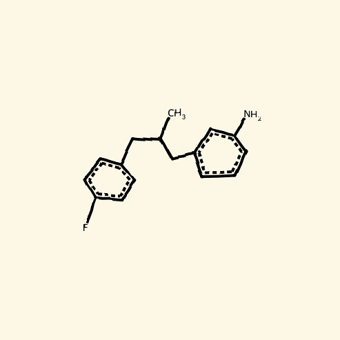 CC(Cc1ccc(F)cc1)Cc1cccc(N)c1